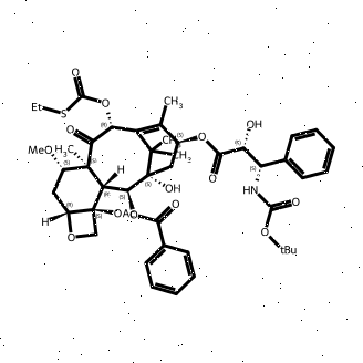 CCSC(=O)O[C@H]1C(=O)[C@]2(C)[C@@H](OC)C[C@H]3OC[C@@]3(OC(C)=O)[C@H]2[C@H](OC(=O)c2ccccc2)[C@]2(O)C[C@H](OC(=O)[C@H](O)[C@@H](NC(=O)OC(C)(C)C)c3ccccc3)C(C)=C1C2(C)C